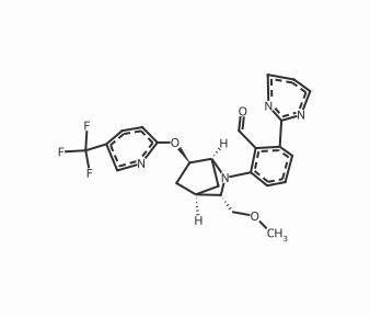 COC[C@@H]1[C@H]2C[C@@H](Oc3ccc(C(F)(F)F)cn3)[C@H](C2)N1c1cccc(-c2ncccn2)c1C=O